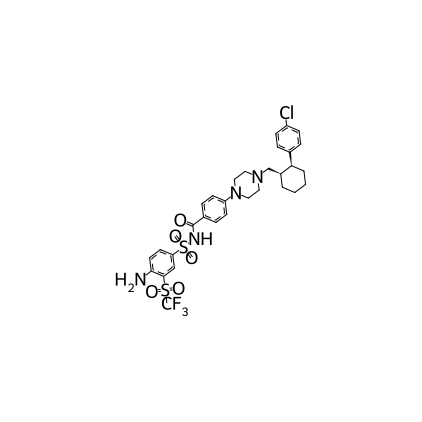 Nc1ccc(S(=O)(=O)NC(=O)c2ccc(N3CCN(C[C@@H]4CCCC[C@@H]4c4ccc(Cl)cc4)CC3)cc2)cc1S(=O)(=O)C(F)(F)F